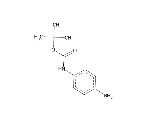 Bc1ccc(NC(=O)OC(C)(C)C)cc1